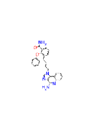 NC(=O)c1cccc(CCCCn2cnc3c(N)nc4ccccc4c32)c1Oc1ccccc1